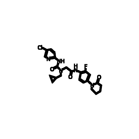 O=C(CN(CC1CC1)C(=O)Nc1ccc(Cl)cn1)Nc1ccc(N2CCCCC2=O)cc1F